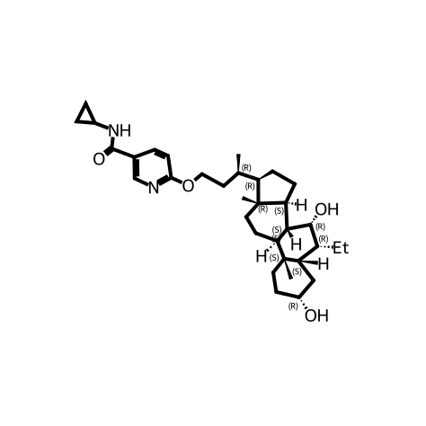 CC[C@H]1[C@@H](O)[C@@H]2[C@H](CC[C@]3(C)[C@@H]([C@H](C)CCOc4ccc(C(=O)NC5CC5)cn4)CC[C@@H]23)[C@@]2(C)CC[C@@H](O)C[C@@H]12